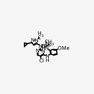 COc1ccc(Nc2nc(Nc3cc(C4CC4)nn3C)ncc2Cl)c(NS(C)(=O)=O)c1